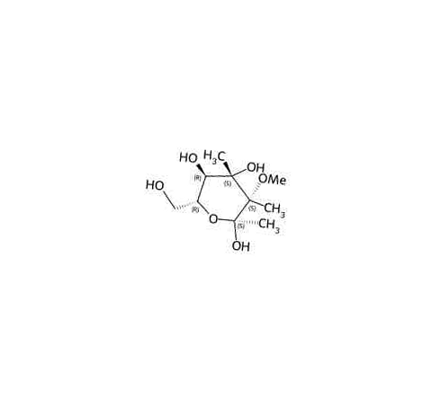 CO[C@]1(C)[C@@](C)(O)O[C@H](CO)[C@@H](O)[C@]1(C)O